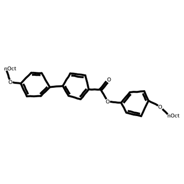 CCCCCCCCOc1ccc(OC(=O)c2ccc(-c3ccc(OCCCCCCCC)cc3)cc2)cc1